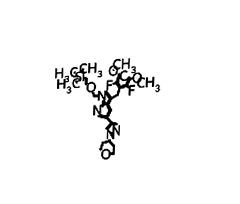 COc1cc(OC)c(F)c(Cc2cn(COCC[Si](C)(C)C)c3ncc(-c4cnn(C5CCOCC5)c4)cc23)c1F